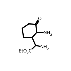 CCOC(=O)C(N)C1CCCC(=O)C1N